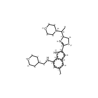 Cc1cc(NCC2CCOCC2)c2[nH]c(C3=NC(C(C)N4CCOCC4)CS3)cc2c1